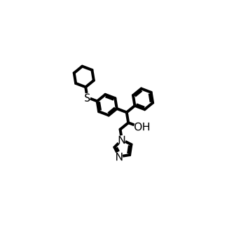 OC(Cn1ccnc1)C(c1ccccc1)c1ccc(SC2CCCCC2)cc1